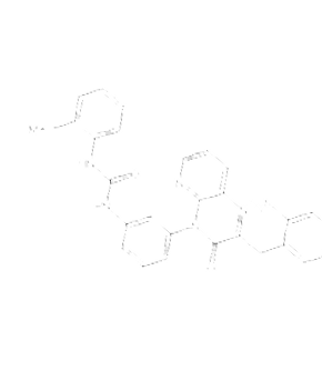 COc1ccccc1NC(=O)Nc1cccc(-n2c(=O)c(Cc3ccccc3[N+](=O)[O-])nc3cccnc32)c1